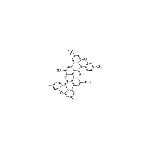 Cc1ccc2c(c1)Oc1cc(C)cc3c1B2c1cc2c(C(C)(C)C)cc4c5c(cc6c(C(C)(C)C)cc-3c1c6c25)B1c2ccc(C(F)(F)F)cc2Oc2cc(C(F)(F)F)cc-4c21